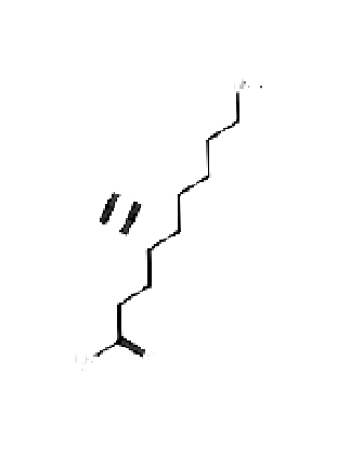 C=C.C=C.CCCCCCCCCCCCCCCCCC(N)=O